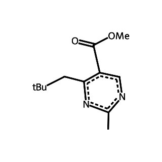 COC(=O)c1cnc(C)nc1CC(C)(C)C